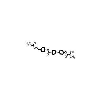 C=CC(=O)OCCc1ccc(OC(=O)c2ccc(-c3ccc(OC(=O)C(=C)C)cc3)cc2)cc1